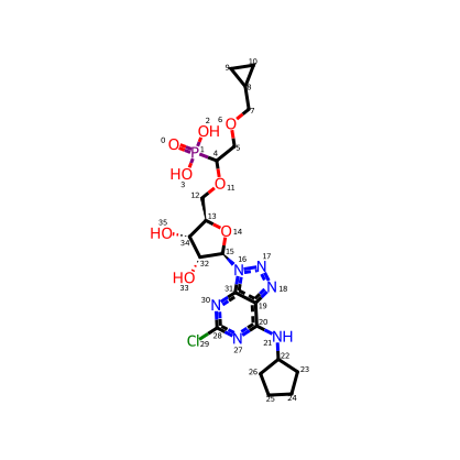 O=P(O)(O)C(COCC1CC1)OC[C@H]1O[C@@H](n2nnc3c(NC4CCCC4)nc(Cl)nc32)[C@H](O)[C@@H]1O